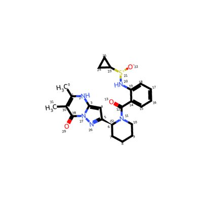 Cc1[nH]c2cc([C@@H]3CCCCN3C(=O)c3ccccc3N[S+]([O-])C3CC3)nn2c(=O)c1C